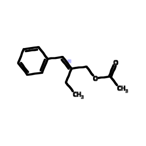 CC/C(=C\c1ccccc1)COC(C)=O